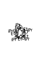 CC[Si]1(OC(C)C)O[Si](CC)(OC(C)C)O[Si](CC)(OC(C)C)O[Si](CC)(OC(C)C)O[Si](CC)(OC(C)C)O1